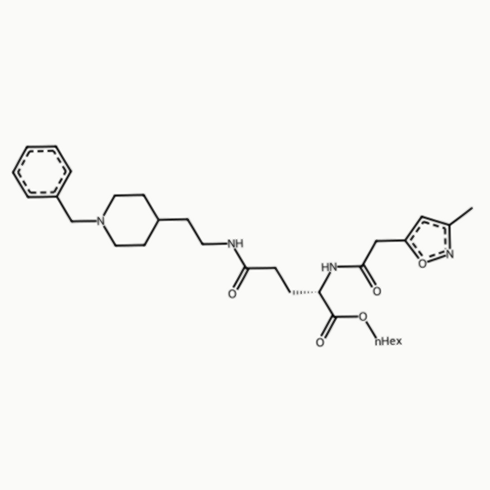 CCCCCCOC(=O)[C@H](CCC(=O)NCCC1CCN(Cc2ccccc2)CC1)NC(=O)Cc1cc(C)no1